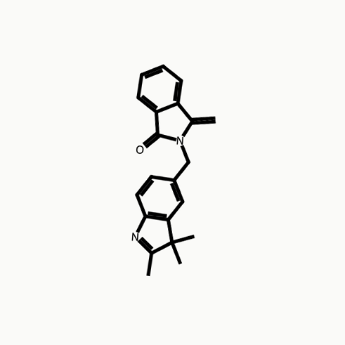 C=C1c2ccccc2C(=O)N1Cc1ccc2c(c1)C(C)(C)C(C)=N2